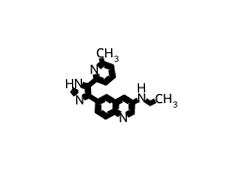 CCNc1cnc2ccc(-c3nc[nH]c3-c3cccc(C)n3)cc2c1